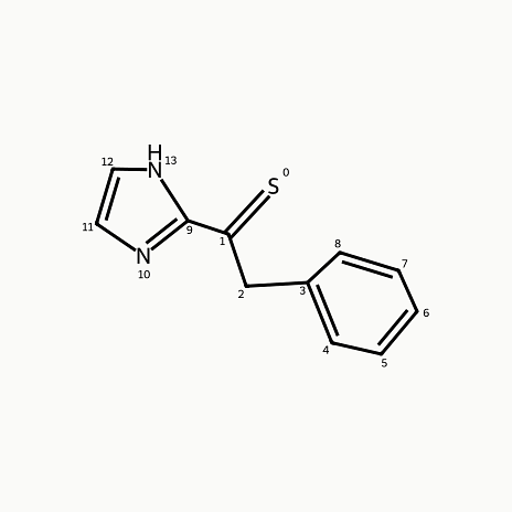 S=C(Cc1ccccc1)c1ncc[nH]1